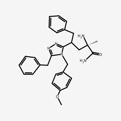 COc1ccc(Cn2c(Cc3ccccc3)nnc2C(Cc2ccccc2)C[C@@](C)(N)C(N)=O)cc1